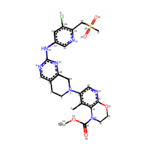 Cc1c(N2CCc3cnc(Nc4cnc(CS(C)(=O)=O)c(Cl)c4)nc3C2)cnc2c1N(C(=O)OC(C)(C)C)CCO2